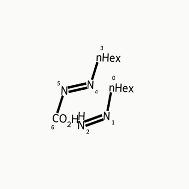 CCCCCCN=N.CCCCCCN=NC(=O)O